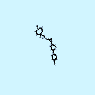 CN1CCC(F)(CNC2CC2c2ccc(-c3ccc(Cl)cc3)nc2)CC1